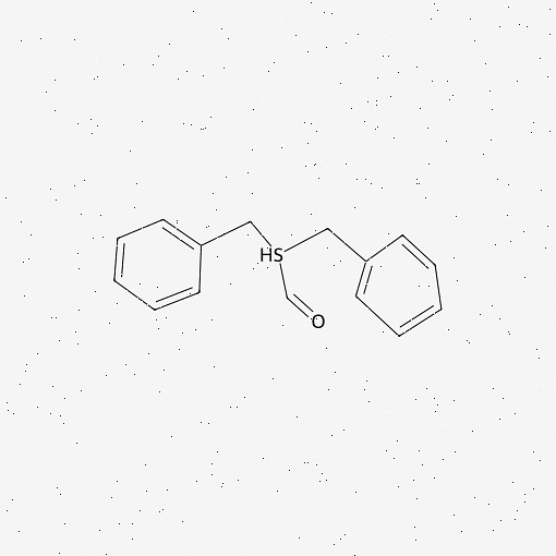 O=C[SH](Cc1ccccc1)Cc1ccccc1